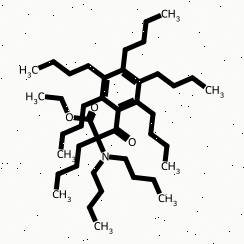 CCCCc1c(CCCC)c(CCCC)c(C(=O)C(CCCC)(C(=O)OCC)N(CCCC)CCCC)c(CCCC)c1CCCC